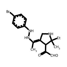 CCC1(C)NCC(=C(C)NNc2ccc(Br)cc2)C1C(=O)C=O